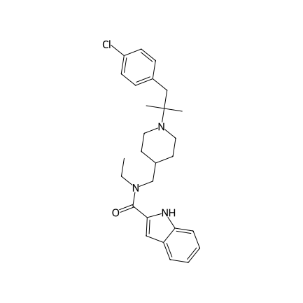 CCN(CC1CCN(C(C)(C)Cc2ccc(Cl)cc2)CC1)C(=O)c1cc2ccccc2[nH]1